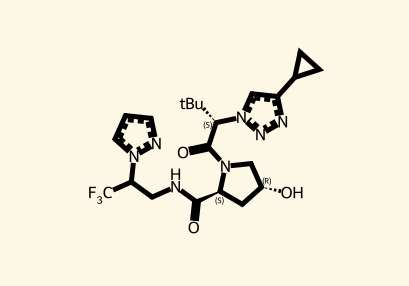 CC(C)(C)[C@@H](C(=O)N1C[C@H](O)C[C@H]1C(=O)NCC(n1cccn1)C(F)(F)F)n1cc(C2CC2)nn1